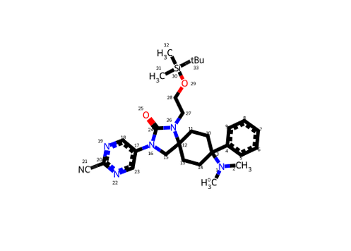 CN(C)C1(c2ccccc2)CCC2(CC1)CN(c1cnc(C#N)nc1)C(=O)N2CCO[Si](C)(C)C(C)(C)C